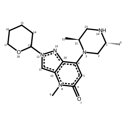 C[C@@H]1CN(c2cc(=O)n(C)c3cn(C4CCCCO4)nc23)[C@@H](C)CN1